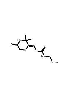 COCNC(=O)ON=C1SCC(=O)NC1(C)C